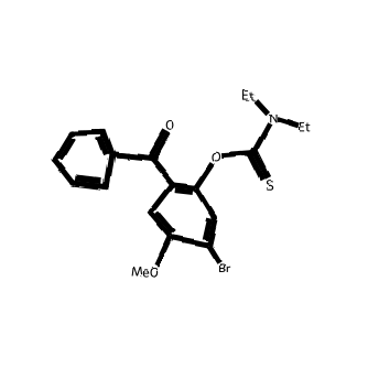 CCN(CC)C(=S)Oc1cc(Br)c(OC)cc1C(=O)c1ccccc1